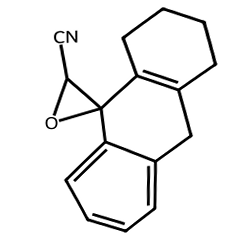 N#CC1OC12C1=C(CCCC1)Cc1ccccc12